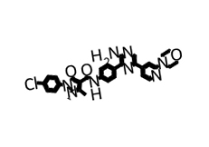 Cc1c(C(=O)Nc2ccc(-c3nc(-c4ccnc(N5CCOCC5)c4)cnc3N)cc2)c(=O)n(-c2ccc(Cl)cc2)n1C